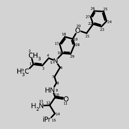 CC(C)=CCN(CCCNC(=O)C(N)CC(C)C)c1ccc(OCc2ccccc2)cc1